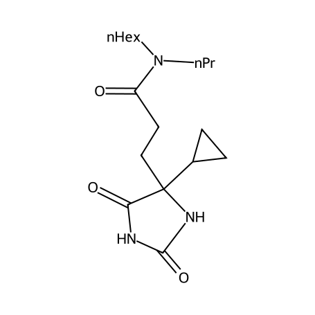 CCCCCCN(CCC)C(=O)CCC1(C2CC2)NC(=O)NC1=O